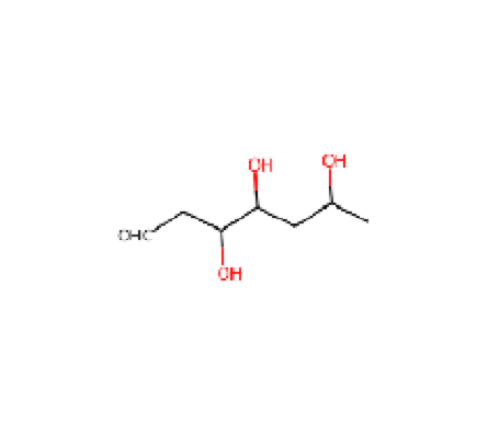 CC(O)CC(O)C(O)CC=O